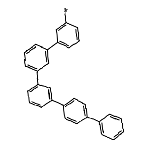 Brc1cccc(-c2cccc(-c3cccc(-c4ccc(-c5ccccc5)cc4)c3)c2)c1